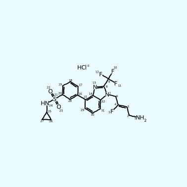 Cl.NCC=C(F)Cn1c(C(F)(F)F)nc2c(-c3cccc(S(=O)(=O)NC4CC4)c3)cccc21